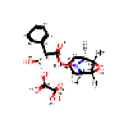 CN1[C@@H]2C[C@@H](OC(=O)[C@H](CO)c3ccccc3)C[C@H]1[C@@H]1O[C@@H]12.O=C(O)C(=O)O